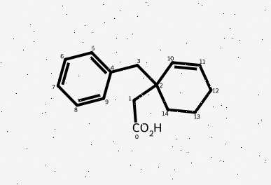 O=C(O)CC1(Cc2ccccc2)C=CCCC1